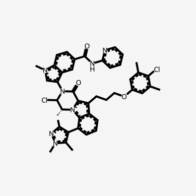 Cc1cc(OCCCc2c3n(c4c(-c5c(C)nn(C)c5C)cccc24)[C@H](C)C(Cl)N(c2cn(C)c4ccc(C(=O)Nc5ccccn5)cc24)C3=O)cc(C)c1Cl